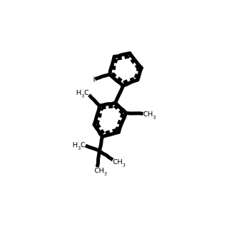 Cc1cc(C(C)(C)C)cc(C)c1-c1ccccc1I